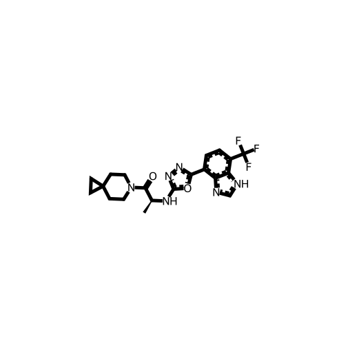 C[C@H](Nc1nnc(-c2ccc(C(F)(F)F)c3[nH]cnc23)o1)C(=O)N1CCC2(CC1)CC2